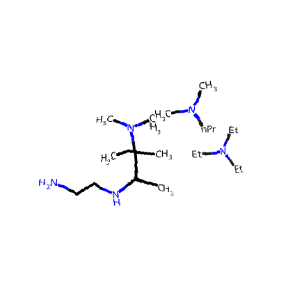 CC(NCCN)C(C)(C)N(C)C.CCCN(C)C.CCN(CC)CC